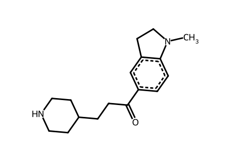 CN1CCc2cc(C(=O)CCC3CCNCC3)ccc21